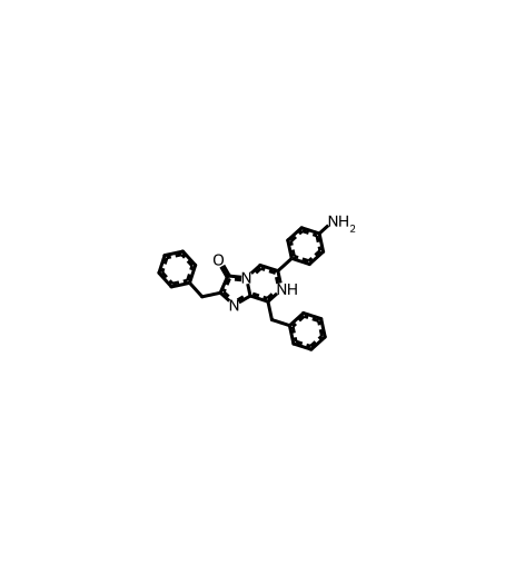 Nc1ccc(-c2cn3c(=O)c(Cc4ccccc4)nc-3c(Cc3ccccc3)[nH]2)cc1